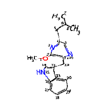 COc1nc(CC(C)C)cnc1Cc1c[nH]c2ccccc12